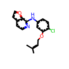 CC(C)=CCOc1cc(Nc2nccc3ccoc23)ccc1Cl